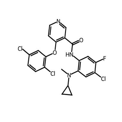 CN(c1cc(Cl)c(F)cc1NC(=O)c1cnccc1Oc1cc(Cl)ccc1Cl)C1CC1